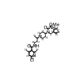 CONC(=O)N(Cc1ccsc1)C1CCN(C(C)CCNC(=O)c2c(C)cc(Cl)nc2C)CC1